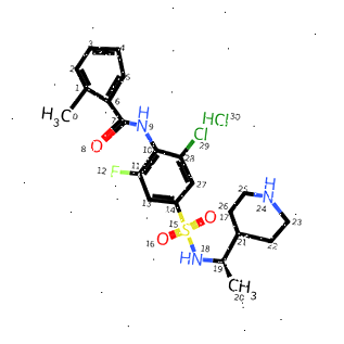 Cc1ccccc1C(=O)Nc1c(F)cc(S(=O)(=O)N[C@H](C)C2CCNCC2)cc1Cl.Cl